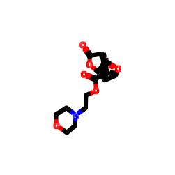 O=C(OCCN1CCOCC1)c1c2c3oc1cc3OC2=O